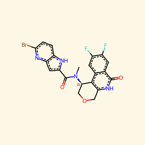 CN(C(=O)c1cc2nc(Br)ccc2[nH]1)[C@@H]1COCc2[nH]c(=O)c3cc(F)c(F)cc3c21